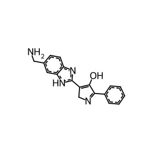 NCc1ccc2nc(C3=C(O)C(c4ccccc4)=NC3)[nH]c2c1